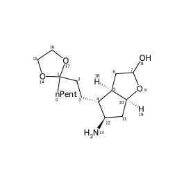 CCCCCC1(CC[C@@H]2[C@H]3CC(O)O[C@H]3C[C@H]2N)OCCO1